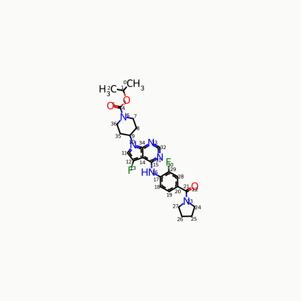 CC(C)OC(=O)N1CCC(n2cc(F)c3c(Nc4ccc(C(=O)N5CCCC5)cc4F)ncnc32)CC1